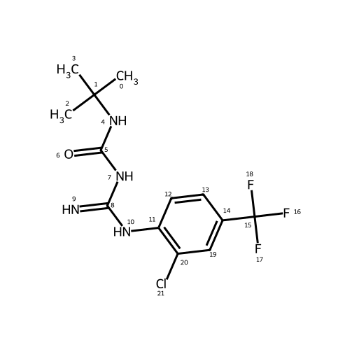 CC(C)(C)NC(=O)NC(=N)Nc1ccc(C(F)(F)F)cc1Cl